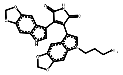 NCCCn1cc(C2=C(c3c[nH]c4cc5c(cc34)OCO5)C(=O)NC2=O)c2cc3c(cc21)OCO3